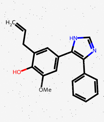 C=CCc1cc(-c2[nH]cnc2-c2ccccc2)cc(OC)c1O